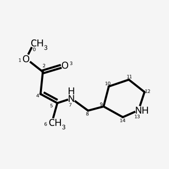 COC(=O)/C=C(/C)NCC1CCCNC1